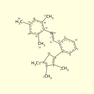 CC1=C(C)C(C)=C(c2ccccc2/C=N/c2c(C)cc(C)cc2C)C1